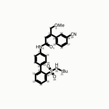 COC/C(=C/C(=O)Nc1ccc(-c2ccccc2S(=O)(=O)NC(C)(C)C)cc1)c1cccc(C#N)c1